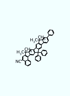 CC1(C)c2cc(-c3ccccc3)ccc2-c2cc3c(cc21)-c1cc2c(cc1C3(c1ccccc1)c1ccccc1)-c1c(cc(C#N)c3ccccc13)C2(C)C